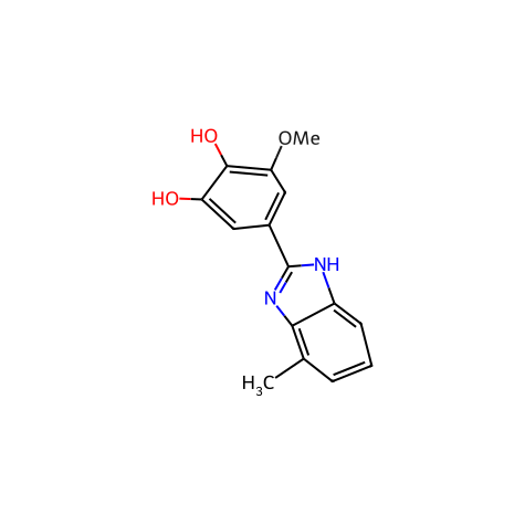 COc1cc(-c2nc3c(C)cccc3[nH]2)cc(O)c1O